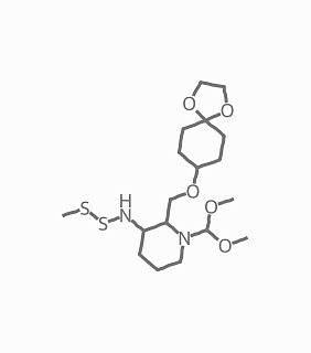 COC(OC)N1CCCC(NSSC)C1COC1CCC2(CC1)OCCO2